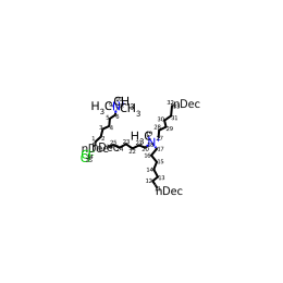 CCCCCCCCCCCCCCCC[N+](C)(C)C.CCCCCCCCCCCCCCCC[N+](C)(CCCCCCCCCCCCCCCC)CCCCCCCCCCCCCCCC.[Cl-].[Cl-]